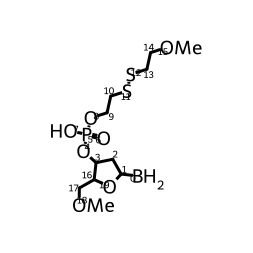 BC1CC(OP(=O)(O)OCCSSCCOC)C(COC)O1